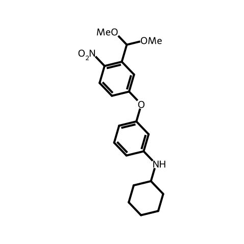 COC(OC)c1cc(Oc2cccc(NC3CCCCC3)c2)ccc1[N+](=O)[O-]